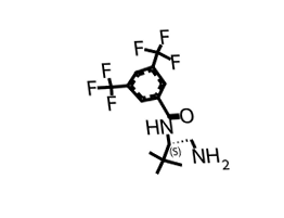 CC(C)(C)[C@@H](CN)NC(=O)c1cc(C(F)(F)F)cc(C(F)(F)F)c1